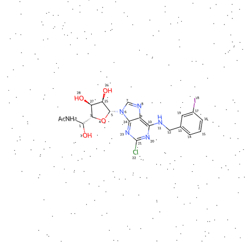 CC(=O)NC(O)[C@H]1O[C@@H](n2cnc3c(NCc4cccc(I)c4)nc(Cl)nc32)[C@H](O)[C@@H]1O